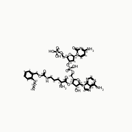 [N-]=[N+]=Nc1ccccc1COC(=O)NCCC[C@H](N)C(=O)O[C@@H]1[C@@H](COP(=O)(O)O[C@H]2C[C@H](n3ccc(N)nc3=O)O[C@@H]2COP(=O)(O)O)OC(n2cnc3c(N)ncnc32)[C@@H]1O